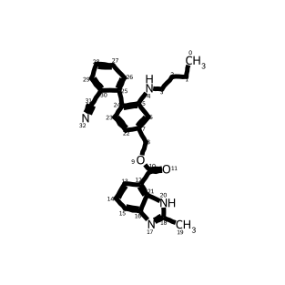 CCCCNc1cc(COC(=O)c2cccc3nc(C)[nH]c23)ccc1-c1ccccc1C#N